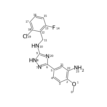 COc1ccc(-c2n[nH]c(NCc3c(F)cccc3Cl)n2)cc1N